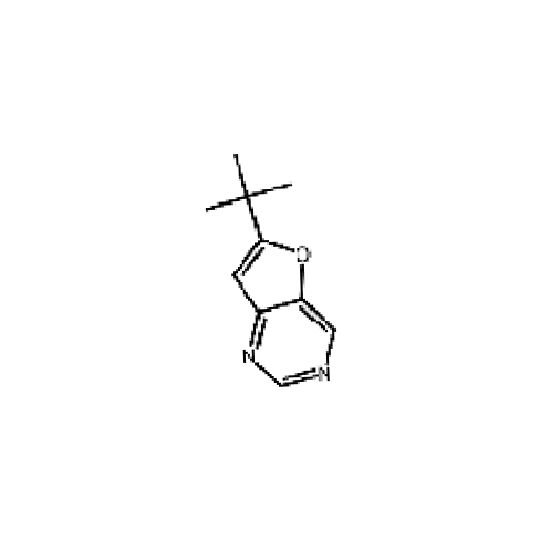 CC(C)(C)c1cc2ncncc2o1